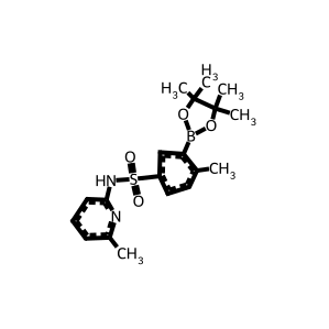 Cc1cccc(NS(=O)(=O)c2ccc(C)c(B3OC(C)(C)C(C)(C)O3)c2)n1